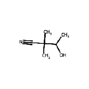 CC(O)C(C)(C)C#N